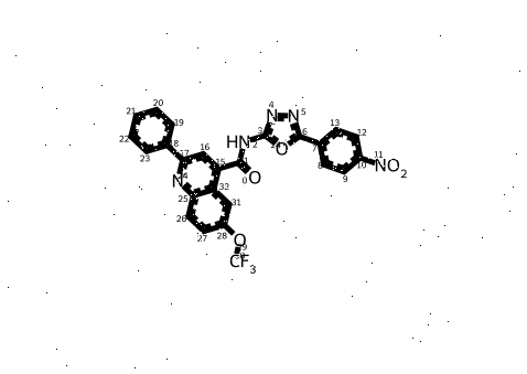 O=C(Nc1nnc(-c2ccc([N+](=O)[O-])cc2)o1)c1cc(-c2ccccc2)nc2ccc(OC(F)(F)F)cc12